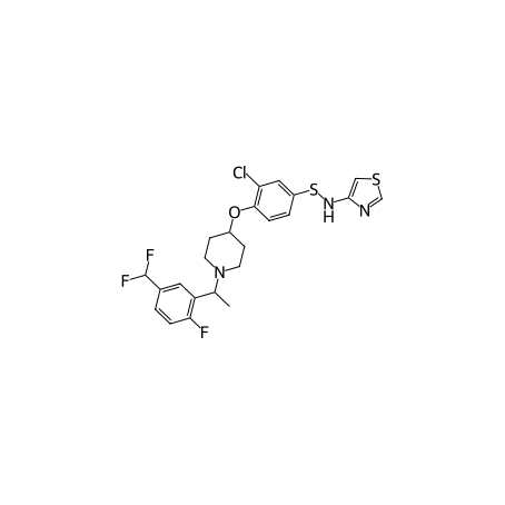 CC(c1cc(C(F)F)ccc1F)N1CCC(Oc2ccc(SNc3cscn3)cc2Cl)CC1